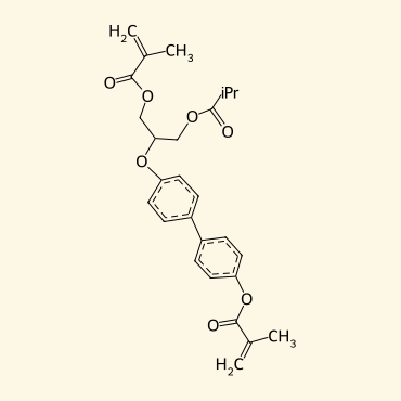 C=C(C)C(=O)OCC(COC(=O)C(C)C)Oc1ccc(-c2ccc(OC(=O)C(=C)C)cc2)cc1